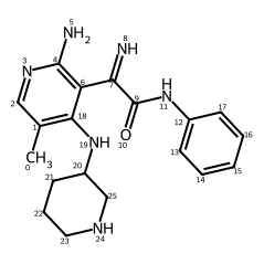 Cc1cnc(N)c(C(=N)C(=O)Nc2ccccc2)c1NC1CCCNC1